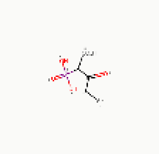 CC(=O)CC(=O)C(C(=O)O)P(=O)(O)O